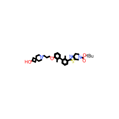 Cc1c(OCCCN2CCC3(CC2)CC(O)C3)cccc1-c1cccc(-c2nc3c(s2)CN(C(=O)OC(C)(C)C)CC3)c1C